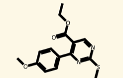 CCOC(=O)c1cnc(SC)nc1-c1ccc(OC)cc1